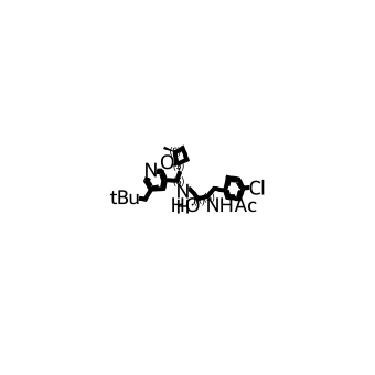 CC(=O)N[C@@H](Cc1ccc(Cl)cc1)[C@H](O)CN[C@H]1C[C@]2(CC[C@@H]2C)Oc2ncc(CC(C)(C)C)cc21